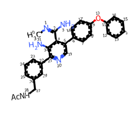 C/N=C(/N)c1c(-c2ccc(Oc3ccccc3)cc2)cnc(-c2cccc(CNC(C)=O)c2)c1N